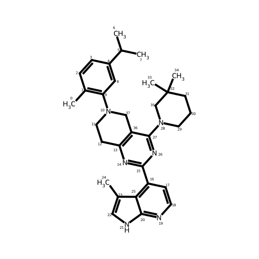 Cc1ccc(C(C)C)cc1N1CCc2nc(-c3ccnc4[nH]cc(C)c34)nc(N3CCCC(C)(C)C3)c2C1